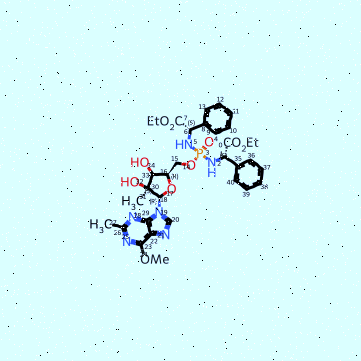 CCOC(=O)[C@@H](NP(=O)(N[C@H](C(=O)OCC)c1ccccc1)OC[C@H]1O[C@@H](n2cnc3c(OC)nc(C)nc32)[C@@](C)(O)C1O)c1ccccc1